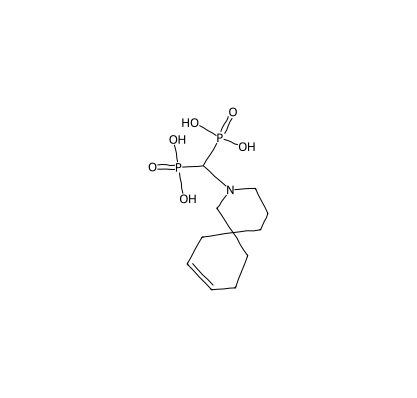 O=P(O)(O)C(N1CCCC2(CC=CCC2)C1)P(=O)(O)O